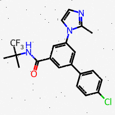 Cc1nccn1-c1cc(C(=O)NC(C)(C)C(F)(F)F)cc(-c2ccc(Cl)cc2)c1